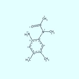 CC(=O)N(C)c1cc(C)c(C)cc1N